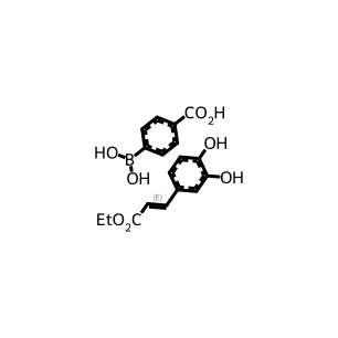 CCOC(=O)/C=C/c1ccc(O)c(O)c1.O=C(O)c1ccc(B(O)O)cc1